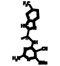 CSc1nc(N)nc(N[C@@H](C)c2nc3ccc(C(F)(F)F)cc3[nH]2)c1C#N